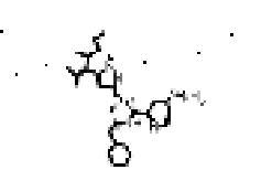 CC(C)=C(c1cc(OC[C@@H](CC2CCCCC2)NC(=O)C2=NC=CC(SN)C2)nn1C)C(C)CCI